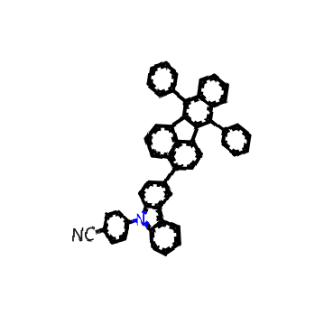 N#Cc1ccc(-n2c3ccccc3c3cc(-c4ccc5c6c(cccc46)-c4c-5c(-c5ccccc5)c5ccccc5c4-c4ccccc4)ccc32)cc1